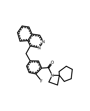 O=C(c1cc(Cc2nncc3ccccc23)ccc1F)N1CCC12CCCCC2